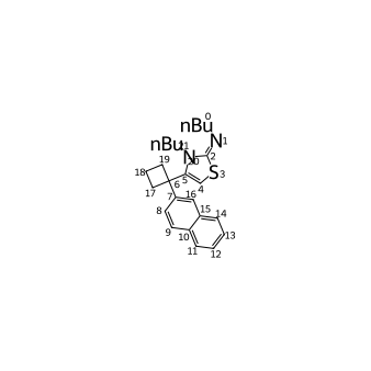 CCCC/N=c1/scc(C2(c3ccc4ccccc4c3)CCC2)n1CCCC